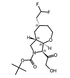 CC(C)(C)OC(=O)N1C[C@@H]2C[C@H](CC(F)F)CCO[C@H]2[C@H]1C(=O)CO